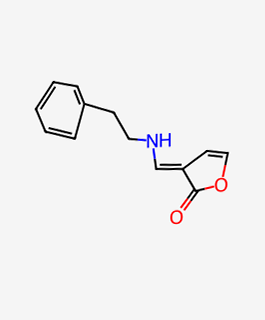 O=C1OC=CC1=CNCCc1ccccc1